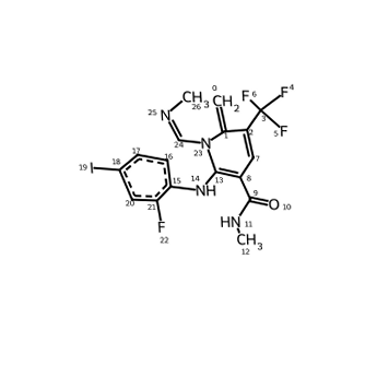 C=C1C(C(F)(F)F)=CC(C(=O)NC)=C(Nc2ccc(I)cc2F)N1/C=N\C